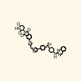 CC(=O)N(c1ccc(-c2cnn(CC3CN(c4ccc5c(c4)C(=O)N(C4CCC(=O)NC4=O)C5=O)C3)c2)cc1)C1CCC(Nc2ncc3ccccc3n2)CC1